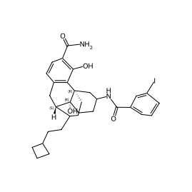 NC(=O)c1ccc2c(c1O)[C@]13CCC(CCC4CCC4)[C@H](C2)[C@]1(O)CCC(NC(=O)c1cccc(I)c1)C3